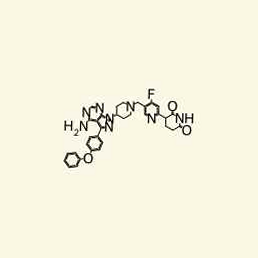 Nc1ncnc2c1c(-c1ccc(Oc3ccccc3)cc1)nn2C1CCN(Cc2cnc(C3CCC(=O)NC3=O)cc2F)CC1